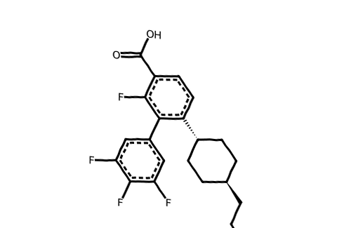 CCC[C@H]1CC[C@H](c2ccc(C(=O)O)c(F)c2-c2cc(F)c(F)c(F)c2)CC1